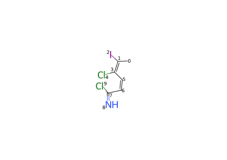 C/C(I)=C(Cl)\C=C/C(=N)Cl